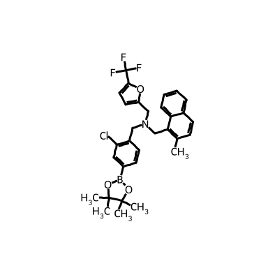 Cc1ccc2ccccc2c1CN(Cc1ccc(C(F)(F)F)o1)Cc1ccc(B2OC(C)(C)C(C)(C)O2)cc1Cl